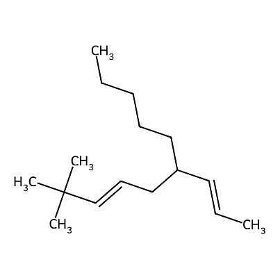 CC=CC(CC=CC(C)(C)C)CCCCC